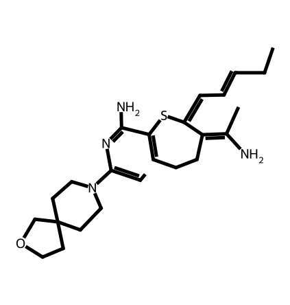 C/C=C(\N=C(\N)C1=CCCC(=C(/C)N)/C(=C\C=C\CC)S1)N1CCC2(CCOC2)CC1